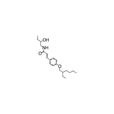 CCCCC(CC)COc1ccc(/C=C/C(=O)NCC(O)CC)cc1